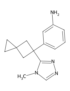 Cn1cnnc1C1(c2cccc(N)c2)CC2(CC2)C1